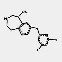 C[C@@H]1CNCCc2ccc(Cc3cc(F)cc(F)c3)cc21